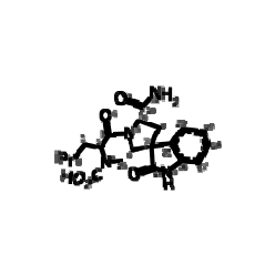 CC(C)CC(C(=O)N1C[C@]2(C[C@H]1C(N)=O)C(=O)Nc1ccccc12)N(C)C(=O)O